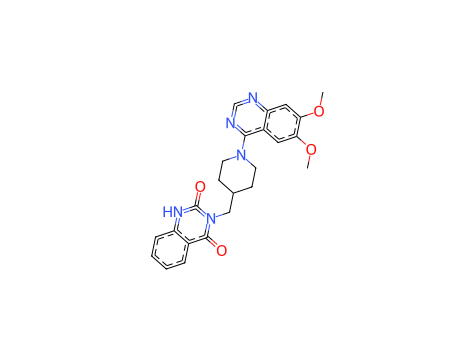 COc1cc2ncnc(N3CCC(Cn4c(=O)[nH]c5ccccc5c4=O)CC3)c2cc1OC